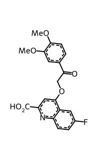 COc1ccc(C(=O)COc2cc(C(=O)O)nc3ccc(F)cc23)cc1OC